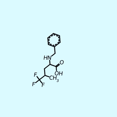 CC(CC(NCc1ccccc1)C(=O)O)C(F)(F)F